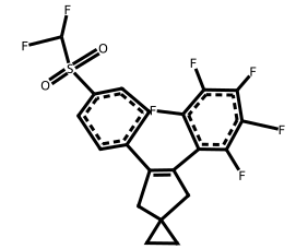 O=S(=O)(c1ccc(C2=C(c3c(F)c(F)c(F)c(F)c3F)CC3(CC3)C2)cc1)C(F)F